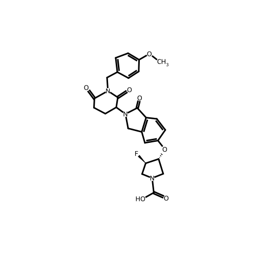 COc1ccc(CN2C(=O)CCC(N3Cc4cc(O[C@@H]5CN(C(=O)O)C[C@H]5F)ccc4C3=O)C2=O)cc1